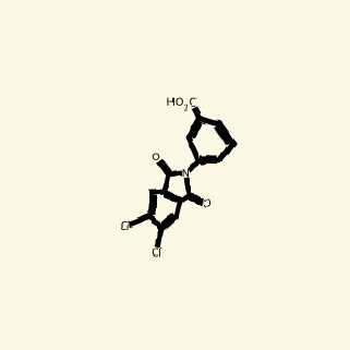 O=C(O)c1cccc(N2C(=O)c3cc(Cl)c(Cl)cc3C2=O)c1